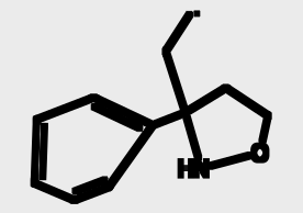 [CH2]CC1(c2ccccc2)CCON1